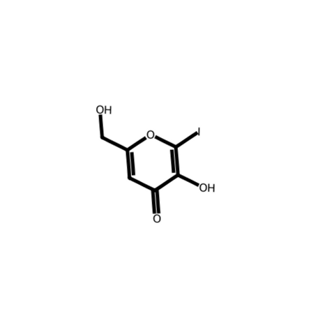 O=c1cc(CO)oc(I)c1O